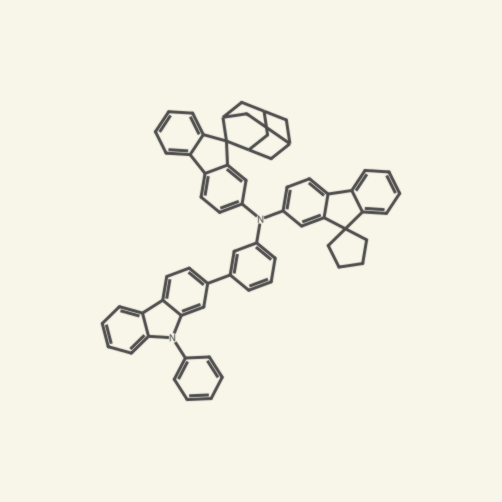 c1ccc(-n2c3ccccc3c3ccc(-c4cccc(N(c5ccc6c(c5)C5(CCCC5)c5ccccc5-6)c5ccc6c(c5)C5(c7ccccc7-6)C6CC7CC(C6)CC5C7)c4)cc32)cc1